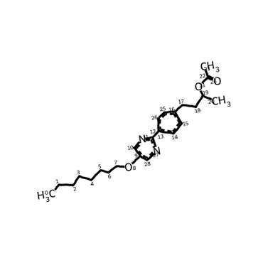 CCCCCCCCOc1cnc(-c2ccc(CCC(C)OC(C)=O)cc2)nc1